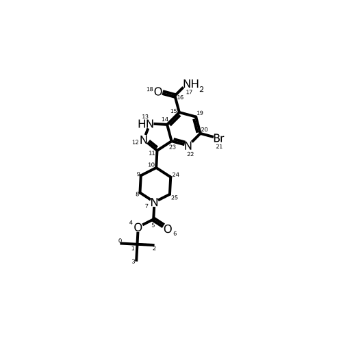 CC(C)(C)OC(=O)N1CCC(c2n[nH]c3c(C(N)=O)cc(Br)nc23)CC1